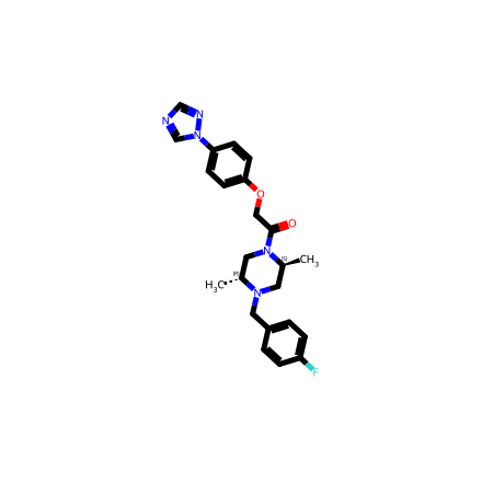 C[C@@H]1CN(C(=O)COc2ccc(-n3cncn3)cc2)[C@@H](C)CN1Cc1ccc(F)cc1